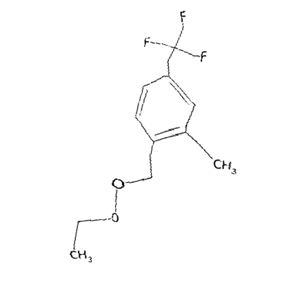 CCOOCc1ccc(C(F)(F)F)cc1C